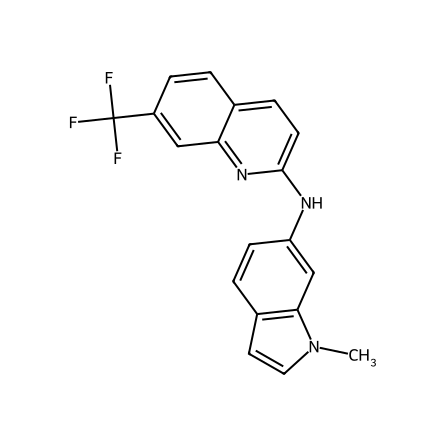 Cn1ccc2ccc(Nc3ccc4ccc(C(F)(F)F)cc4n3)cc21